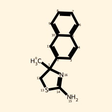 CC1(c2ccc3ccccc3c2)CSC(N)=N1